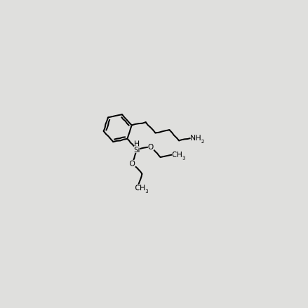 CCO[SiH](OCC)c1ccccc1CCCCN